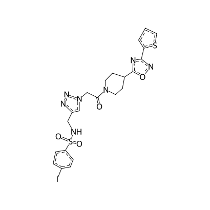 O=C(Cn1cc(CNS(=O)(=O)c2ccc(I)cc2)nn1)N1CCC(c2nc(-c3cccs3)no2)CC1